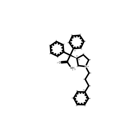 NC(=O)C(c1ccccc1)(c1ccccc1)[C@H]1CCN(CCCc2ccccc2)C1